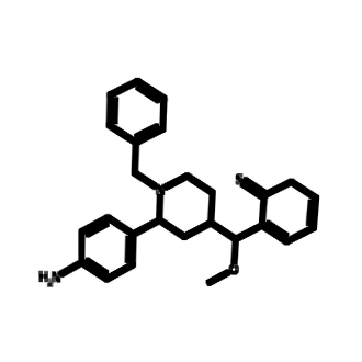 COC(C1=CC=CCC1=S)C1CCN(Cc2ccccc2)C(c2ccc(N)cc2)C1